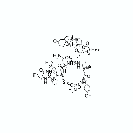 CCCCCCC(=O)O[C@H]1CC[C@H]2[C@@H]3CCC4=CC(=O)CC[C@]4(C)[C@H]3CC[C@]12C.CC[C@H](C)[C@@H]1NC(=O)[C@H](Cc2ccc(O)cc2)NC(=O)[C@@H](N)CSSC[C@@H](C(=O)N2CCC[C@H]2C(=O)N[C@@H](CC(C)C)C(=O)NCC(N)=O)NC(=O)[C@H](CC(N)=O)NC(=O)[C@H](CCC(N)=O)NC1=O